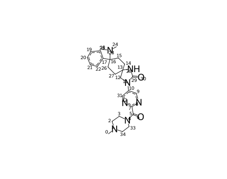 CN1CCN(C(=O)c2ncc(N3CC4(CCC(c5ccccc5)(N(C)C)CC4)NC3=O)cn2)CC1